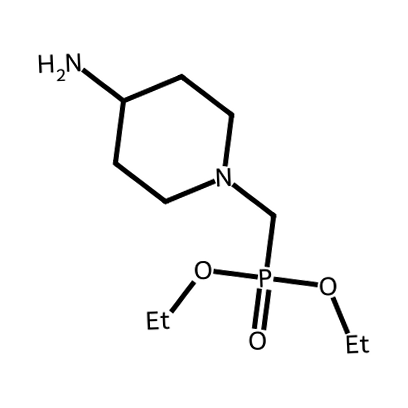 CCOP(=O)(CN1CCC(N)CC1)OCC